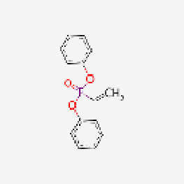 C=CP(=O)(Oc1ccccc1)Oc1ccccc1